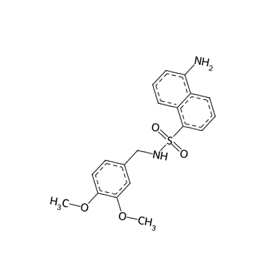 COc1ccc(CNS(=O)(=O)c2cccc3c(N)cccc23)cc1OC